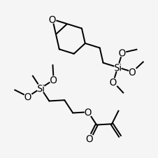 C=C(C)C(=O)OCCC[Si](C)(OC)OC.CO[Si](CCC1CCC2OC2C1)(OC)OC